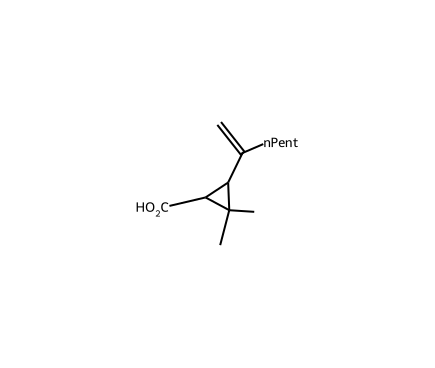 C=C(CCCCC)C1C(C(=O)O)C1(C)C